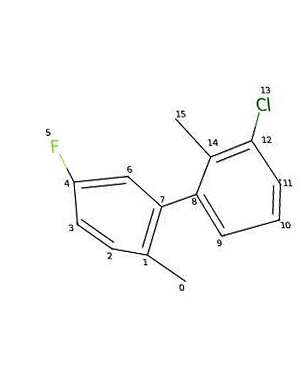 Cc1ccc(F)cc1-c1cc[c]c(Cl)c1C